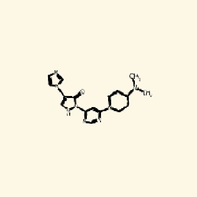 CN(C)C1CCN(c2cc(-n3[nH]cc(-n4ccnc4)c3=O)ncn2)CC1